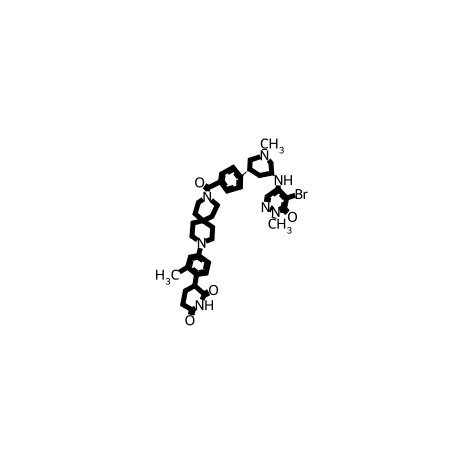 Cc1cc(N2CCC3(CCN(C(=O)c4ccc([C@H]5C[C@@H](Nc6cnn(C)c(=O)c6Br)CN(C)C5)cc4)CC3)CC2)ccc1C1CCC(=O)NC1=O